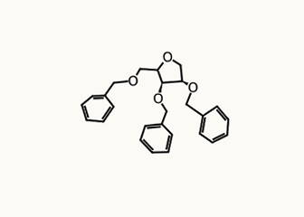 c1ccc(COCC2OC[C@@H](OCc3ccccc3)[C@H]2OCc2ccccc2)cc1